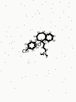 CN(C)CCC[C@]1(O)c2ccccc2CCC[C@H]1c1ccc(Cl)cc1